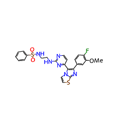 COc1cc(-c2nc3sccn3c2-c2ccnc(NCCNS(=O)(=O)c3ccccc3)n2)ccc1F